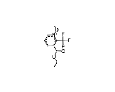 CCOC(=O)c1ccc[n+](OC)c1C(F)(F)F